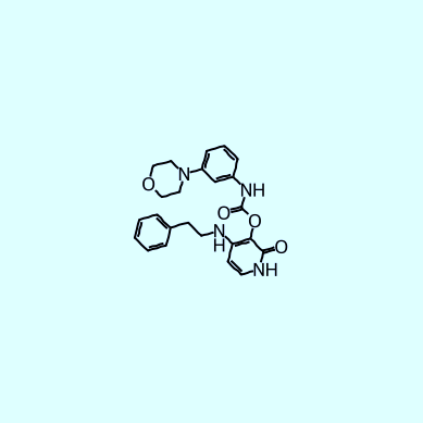 O=C(Nc1cccc(N2CCOCC2)c1)Oc1c(NCCc2ccccc2)cc[nH]c1=O